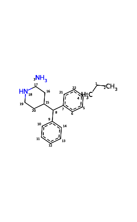 CCC.N.c1ccc(C(c2ccccc2)C2CCNCC2)cc1